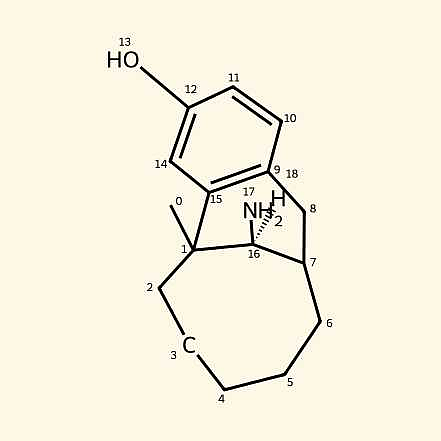 CC12CCCCCC(Cc3ccc(O)cc31)[C@@H]2N